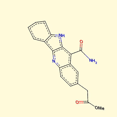 COC(=O)Cc1ccc2nc3c([nH]c4ccccc43)c(C(N)=O)c2c1